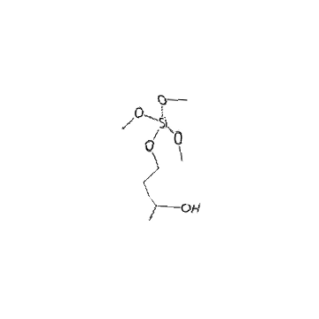 CO[Si](OC)(OC)OCCC(C)O